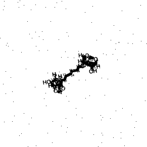 OC1C2OC3O[C@@H]1C(O)[C@@H](O3)[C@@H]2CCCCCCO[C@@H]1C2OC3O[C@@H](C2O)C(O)[C@H]1O3